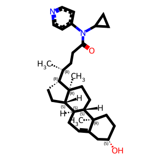 C[C@H](CCC(=O)N(c1ccncc1)C1CC1)[C@H]1CC[C@H]2[C@@H]3CC=C4C[C@@H](O)CC[C@]4(C)[C@H]3CC[C@]12C